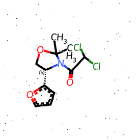 CC1(C)OC[C@@H](c2ccco2)N1C(=O)C(Cl)Cl